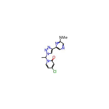 CNc1cncc(-c2cn(C(C)n3ccc(Cl)cc3=O)nn2)n1